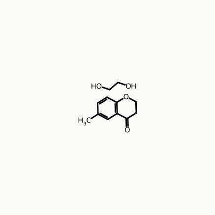 Cc1ccc2c(c1)C(=O)CCO2.OCCO